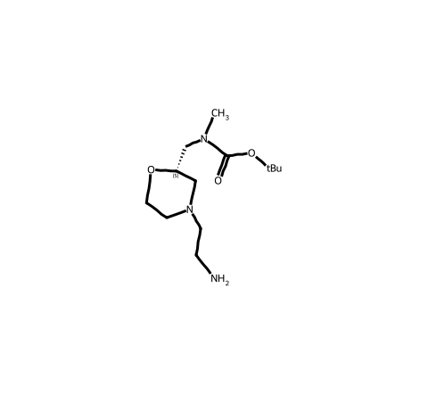 CN(C[C@@H]1CN(CCN)CCO1)C(=O)OC(C)(C)C